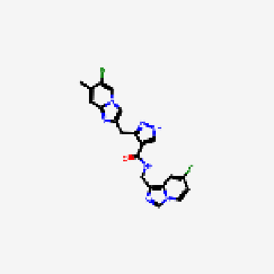 Cc1cc2nc(Cc3n[nH]cc3C(=O)NCc3ncn4ccc(Cl)cc34)cn2cc1Br